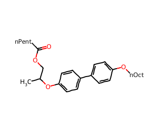 CCCCCCCCOc1ccc(-c2ccc(OC(C)COC(=O)CCCCC)cc2)cc1